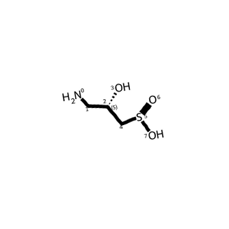 NC[C@H](O)CS(=O)O